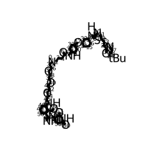 CN(C/C=C/C(=O)Nc1ccc(OC2CCC[C@@H](Nc3ncc(SCc4ncc(C(C)(C)C)o4)s3)C2)cc1)CCOCCOCCOCCNc1cccc2c1C(=O)N(C1CCC(=O)NC1=O)C2=N